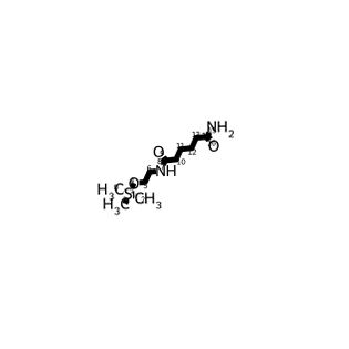 C[Si](C)(C)OCCNC(=O)CCCCC(N)=O